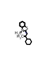 C=C(/C=C1/Sc2ccccc2N1C)C1CCCCC1